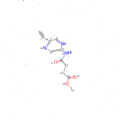 C#Cc1cnc(NC(=O)CCC(=O)OC)cn1